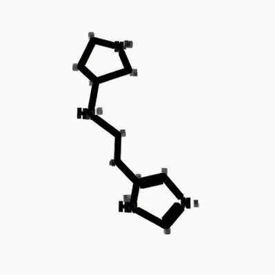 c1ncc(CCNC2CC[N]C2)[nH]1